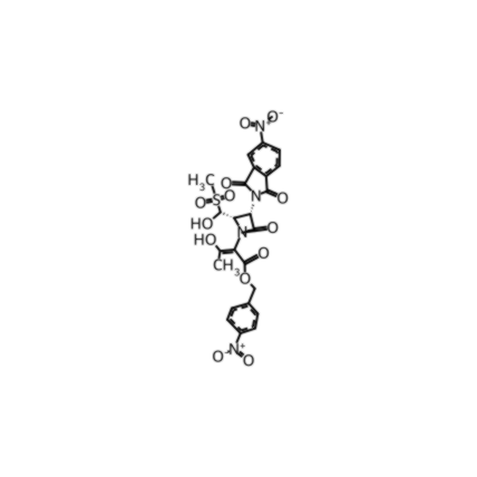 CC(O)=C(C(=O)OCc1ccc([N+](=O)[O-])cc1)N1C(=O)[C@@H](N2C(=O)c3ccc([N+](=O)[O-])cc3C2=O)[C@H]1C(O)S(C)(=O)=O